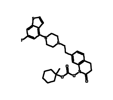 CC1(OC(=O)ON2C(=O)CCc3ccc(CCN4CCN(c5cc(F)cc6sccc56)CC4)cc32)CCCCC1